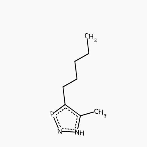 CCCCCc1pn[nH]c1C